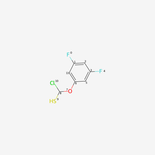 Fc1cc(F)cc(OC(S)Cl)c1